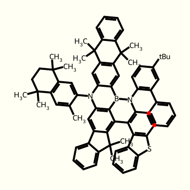 Cc1cc2c(cc1N1c3cc4c(cc3B3c5c1cc1c(c5-c5c(ccc6sc7ccccc7c56)N3c3ccc(C(C)(C)C)cc3-c3ccccc3)C(C)(C)c3ccccc3-1)C(C)(C)c1ccccc1C4(C)C)C(C)(C)CCC2(C)C